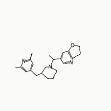 Cc1cc(CC2CCCN(C(C)c3cnc4c(c3)OCC4)C2)cc(C)n1